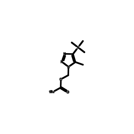 Cc1c([Si](C)(C)C)nnn1COC(=O)C(C)(C)C